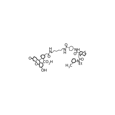 CCN(C(=O)Cn1c(C(=O)N[C@H]2CC[C@H](C(=O)NCCCCCCNC(=O)Cc3ccc(-c4c5ccc(=O)cc-5oc5cc(O)ccc45)c(C(=O)O)c3)CC2)cc2sccc21)c1cccc(C)c1